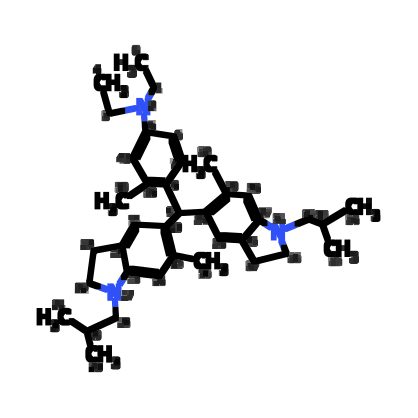 CCN(CC)c1ccc(C(c2cc3c(cc2C)N(CC(C)C)CC3)c2cc3c(cc2C)N(CC(C)C)CC3)c(C)c1